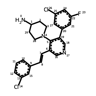 NC1CCN(c2c(/C=C/c3cccc(Cl)c3)cncc2-c2cc(F)cc(Cl)c2)CC1